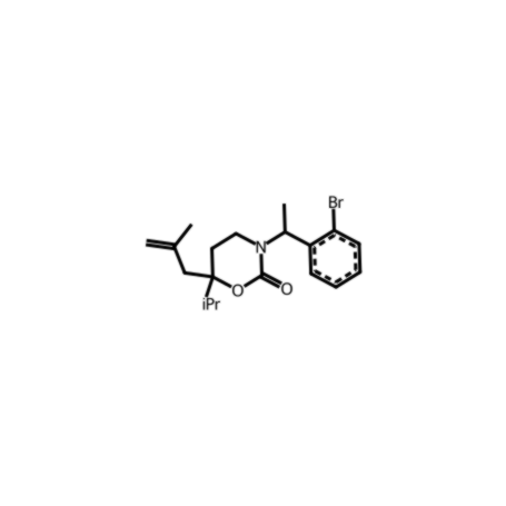 C=C(C)CC1(C(C)C)CCN(C(C)c2ccccc2Br)C(=O)O1